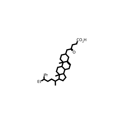 CCC(CCC(C)C1CCC2C3CC=C4CC(CC(=O)CCC(=O)O)CCC4(C)C3CCC12C)C(C)C